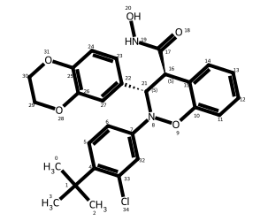 CC(C)(C)c1ccc(N2Oc3ccccc3[C@H](C(=O)NO)[C@H]2c2ccc3c(c2)OCCO3)cc1Cl